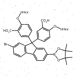 CCCCCCOc1ccc(C2(c3ccc(OCCCCCC)c(C(=O)O)c3)c3cc(Br)ccc3-c3ccc(B4OC(C)(C)C(C)(C)O4)cc32)cc1C(=O)O